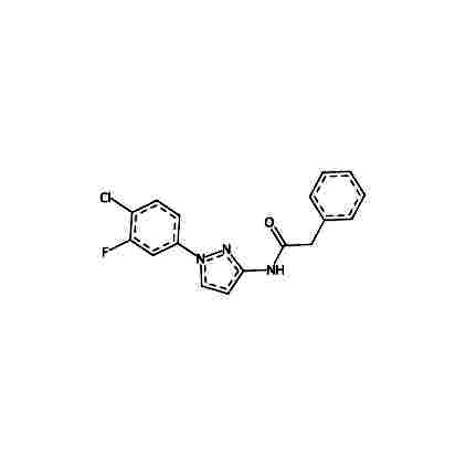 O=C(Cc1ccccc1)Nc1ccn(-c2ccc(Cl)c(F)c2)n1